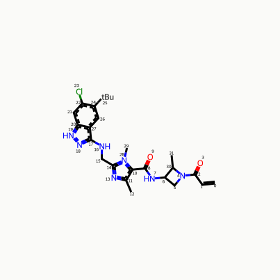 C=CC(=O)N1CC(NC(=O)c2c(C)nc(CNc3n[nH]c4cc(Cl)c(C(C)(C)C)cc34)n2C)C1C